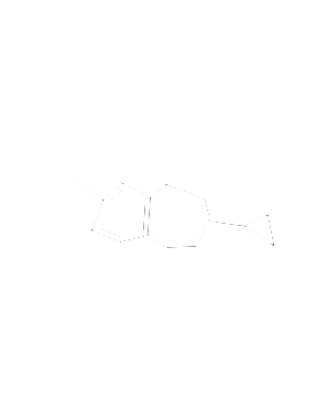 Cc1ccc2c(c1)CCN(C1CC1)CC2